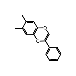 Cc1cc2c(cc1C)OC(c1ccccc1)=CO2